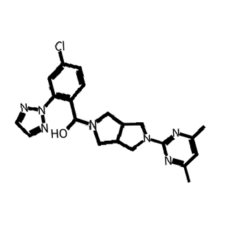 Cc1cc(C)nc(N2CC3CN(C(O)c4ccc(Cl)cc4-n4nccn4)CC3C2)n1